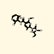 CCN1C(=O)N(c2nc(OC(C)C)c(C(=O)Nc3c(C)ccnc3Cl)cc2F)NC1CF